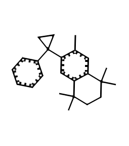 Cc1cc2c(cc1C1(c3[c]cccc3)CC1)C(C)(C)CCC2(C)C